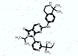 CC(C)n1c(=O)c2cnc(Nc3ccc4c(c3)CCNC4(C)C)nc2n1-c1ccnc(C(C)(C)CF)n1